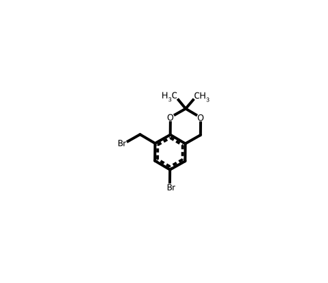 CC1(C)OCc2cc(Br)cc(CBr)c2O1